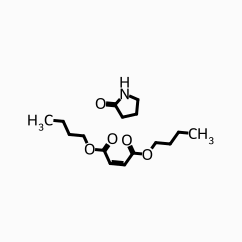 CCCCOC(=O)/C=C\C(=O)OCCCC.O=C1CCCN1